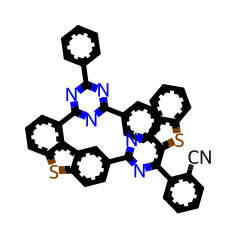 N#Cc1ccccc1-c1nc(-c2ccc3sc4cccc(-c5nc(-c6ccccc6)nc(-c6ccccc6)n5)c4c3c2)nc2c1sc1ccccc12